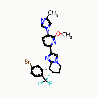 COc1nc(-c2cn3c(n2)[C@@H](c2cc(Br)ccc2C(F)(F)F)CCC3)ccc1-n1cnc(C)c1